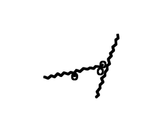 CCCCCCCCCCC(CCCCCCCCCC)OC(=O)CCCCCCCC(=O)CCCCCCCCC